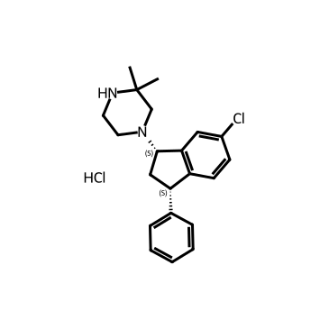 CC1(C)CN([C@H]2C[C@@H](c3ccccc3)c3ccc(Cl)cc32)CCN1.Cl